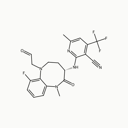 Cc1cc(C(F)(F)F)c(C#N)c(N[C@H]2CCN(CC=O)c3c(F)cccc3N(C)C2=O)n1